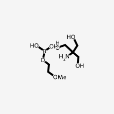 COCCOB(O)O.NC(CO)(CO)CO